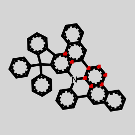 c1ccc(C2(c3ccccc3)c3ccccc3-c3ccc(N(c4ccccc4-c4ccc5ccccc5c4)c4ccccc4-c4cc5ccccc5c5ccccc45)cc32)cc1